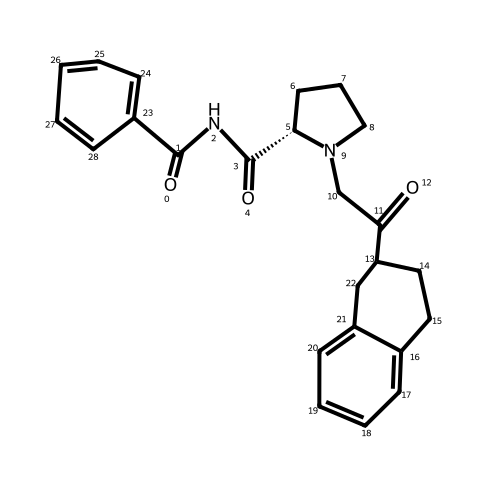 O=C(NC(=O)[C@@H]1CCCN1CC(=O)C1CCc2ccccc2C1)c1ccccc1